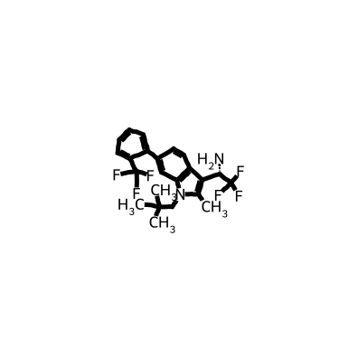 Cc1c([C@H](N)C(F)(F)F)c2ccc(-c3ccccc3C(F)(F)F)cc2n1CC(C)(C)C